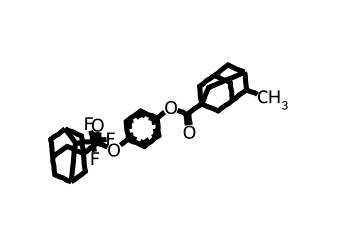 CC1C2CC3CC1CC(C(=O)Oc1ccc(OC(=O)C45CC6CC(C4)C(C(F)(F)F)C(C6)C5)cc1)(C3)C2